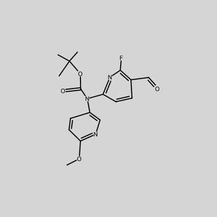 COc1ccc(N(C(=O)OC(C)(C)C)c2ccc(C=O)c(F)n2)cn1